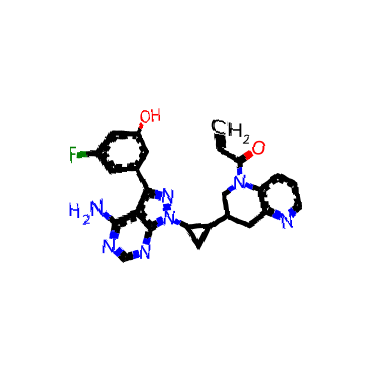 C=CC(=O)N1CC(C2CC2n2nc(-c3cc(O)cc(F)c3)c3c(N)ncnc32)Cc2ncccc21